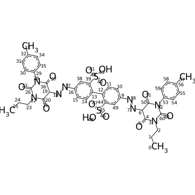 CCCN1C(=O)C(N=Nc2ccc(-c3ccc(N=NC4C(=O)N(CCC)C(=O)N(c5ccc(C)cc5)C4=O)cc3S(=O)(=O)O)c(S(=O)(=O)O)c2)C(=O)N(c2ccc(C)cc2)C1=O